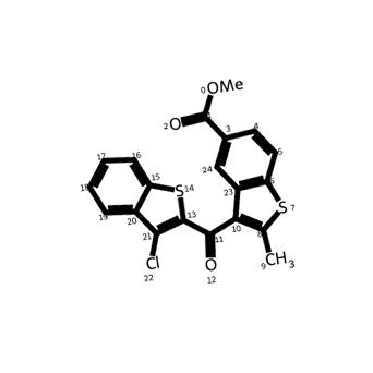 COC(=O)c1ccc2sc(C)c(C(=O)c3sc4ccccc4c3Cl)c2c1